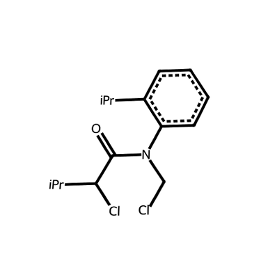 CC(C)c1ccccc1N(CCl)C(=O)C(Cl)C(C)C